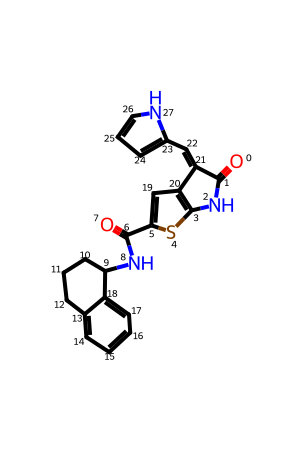 O=C1Nc2sc(C(=O)NC3CCCc4ccccc43)cc2C1=Cc1ccc[nH]1